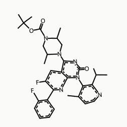 Cc1ccnc(C(C)C)c1-n1c(=O)nc(N2CC(C)N(C(=O)OC(C)(C)C)CC2C)c2cc(F)c(-c3ccccc3F)nc21